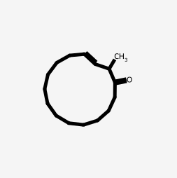 CC1/C=C/CCCCCCCCCCCC1=O